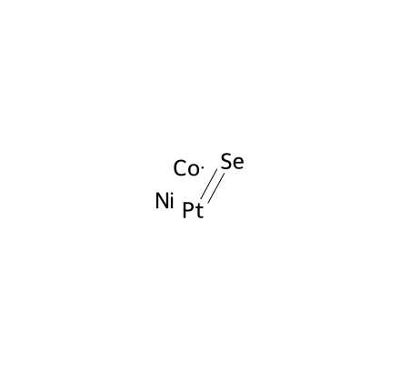 [Co].[Ni].[Se]=[Pt]